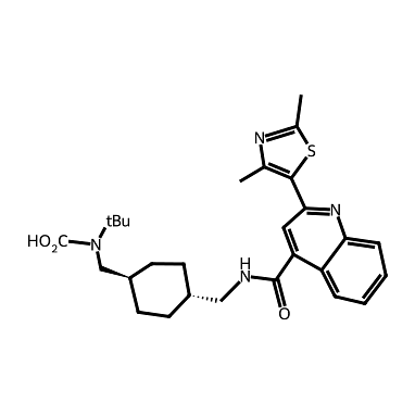 Cc1nc(C)c(-c2cc(C(=O)NC[C@H]3CC[C@H](CN(C(=O)O)C(C)(C)C)CC3)c3ccccc3n2)s1